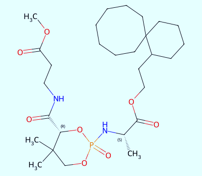 COC(=O)CCNC(=O)[C@@H]1OP(=O)(N[C@@H](C)C(=O)OCCC2CCCCC23CCCCCCC3)OCC1(C)C